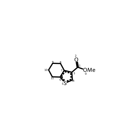 COC(=O)c1[c]sc2c1CCCC2